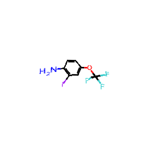 Nc1ccc(OC(F)(F)F)cc1I